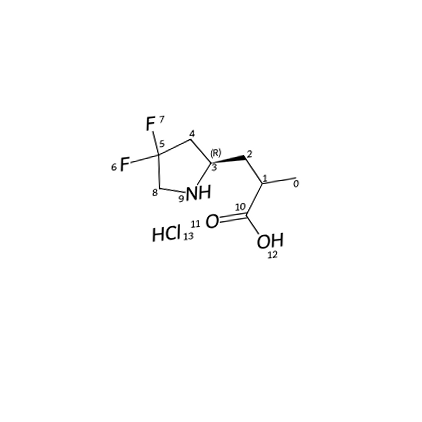 CC(C[C@@H]1CC(F)(F)CN1)C(=O)O.Cl